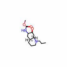 CCCN1CCC[C@H]2CC(NC(=O)OC)C(=O)C[C@@H]21